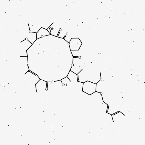 CC=C(C)C=CCOC1CCC(C=C(C)C2OC(=O)C3CCCCN3C(=O)C(=O)C3(O)OC(C(OC)CC(C)C/C(C)=C/C(CC)C(=O)CC(O)C2C)C(OC)CC3C)CC1OC